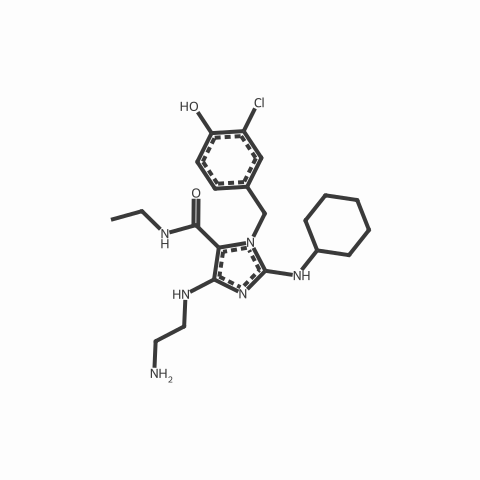 CCNC(=O)c1c(NCCN)nc(NC2CCCCC2)n1Cc1ccc(O)c(Cl)c1